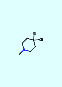 [CH2]CC1(C#N)CCN(C)CC1